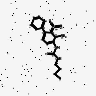 CCCCNC(=O)NC1=CC=C(c2ccccc2)C(=S(=O)=O)C1N